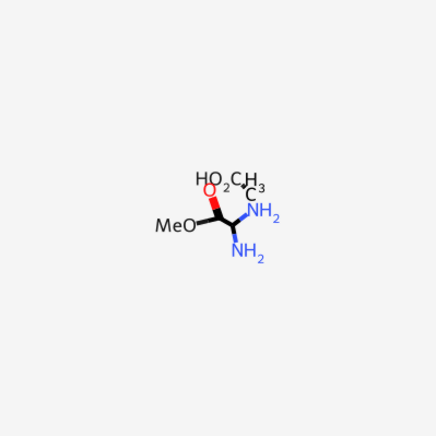 CC(=O)O.COC(=O)C(N)N